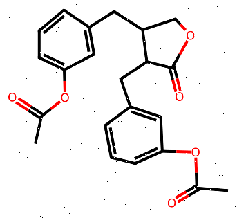 CC(=O)Oc1cccc(CC2COC(=O)C2Cc2cccc(OC(C)=O)c2)c1